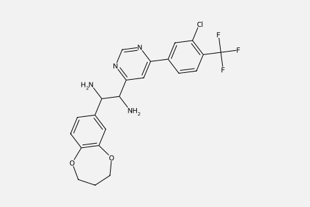 NC(c1ccc2c(c1)OCCCO2)C(N)c1cc(-c2ccc(C(F)(F)F)c(Cl)c2)ncn1